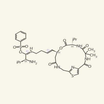 CC(C)[C@@H]1NC(=O)C(C)(C)NC(=O)c2csc(n2)CNC(=O)C[C@@H](/C=C/CC/[SH]=C(/OS(=O)(=O)c2ccccc2)[C@@H](N)C(C)C)OC1=O